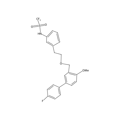 COc1ccc(-c2ccc(F)cc2)cc1COCCc1cccc(NS(=O)(=O)C(F)(F)F)c1